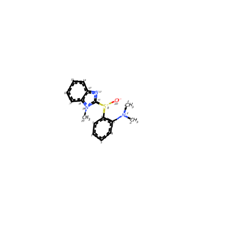 CN(C)c1ccccc1[S+]([O-])c1nc2ccccc2n1C